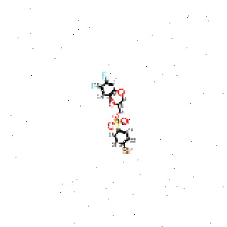 O=S(=O)(OCC1COc2cc(F)c(F)cc2O1)c1ccc(Br)cc1